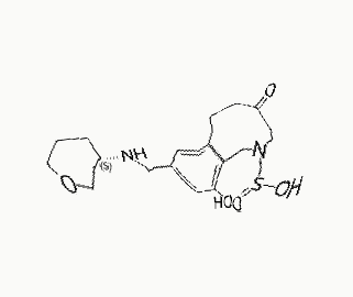 O=C1CCc2cc(CN[C@H]3CCCOC3)cc(O)c2N(S(=O)O)C1